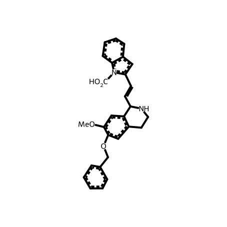 COc1cc2c(cc1OCc1ccccc1)CCNC2C=Cc1cc2ccccc2n1C(=O)O